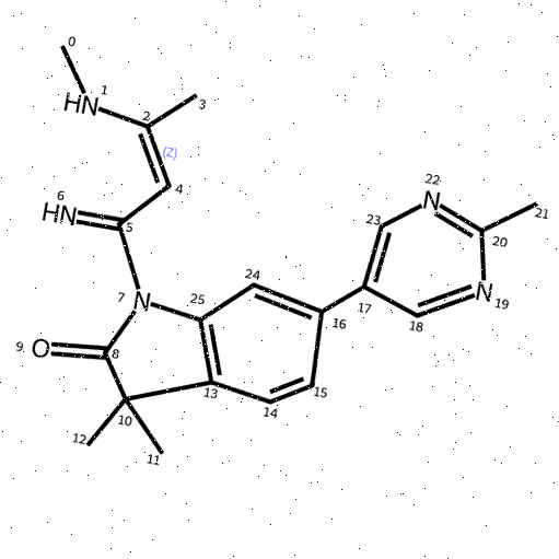 CN/C(C)=C\C(=N)N1C(=O)C(C)(C)c2ccc(-c3cnc(C)nc3)cc21